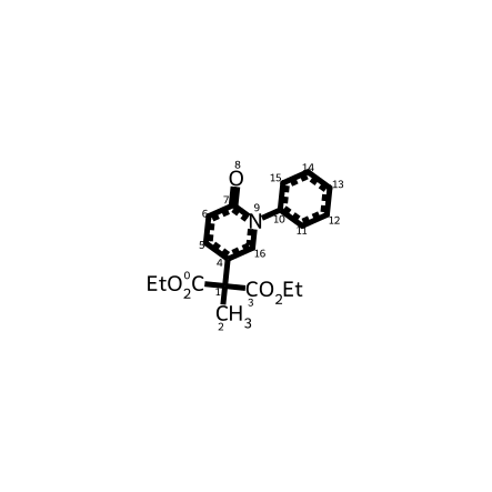 CCOC(=O)C(C)(C(=O)OCC)c1ccc(=O)n(-c2ccccc2)c1